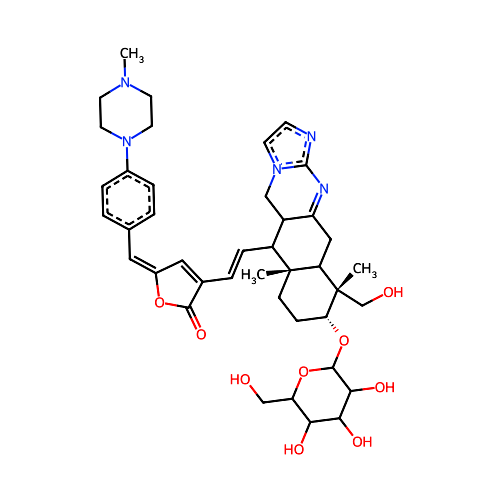 CN1CCN(c2ccc(/C=C3C=C(/C=C/C4C5Cn6ccnc6N=C5CC5[C@]4(C)CC[C@@H](OC4OC(CO)C(O)C(O)C4O)[C@@]5(C)CO)C(=O)O\3)cc2)CC1